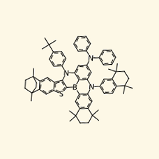 CC(C)(C)c1ccc(N2c3cc(N(c4ccccc4)c4ccccc4)cc4c3B(c3cc5c(cc3N4c3ccc4c(c3)C(C)(C)CCC4(C)C)C(C)(C)CCC5(C)C)c3sc4cc5c(cc4c32)C2(C)CCC5(C)CC2)cc1